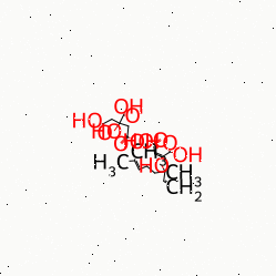 C=CC(C)(O)CCC=C(C)C.O=C(O)/C=C\C(=O)O.O=C(O)CC(O)(CC(=O)O)C(=O)O